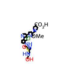 COc1nc(-c2ccnc(-c3cccc(NC(=O)c4ncc(CNCCO)s4)c3C)c2Cl)ccc1CN1CCC(C(=O)O)CC1